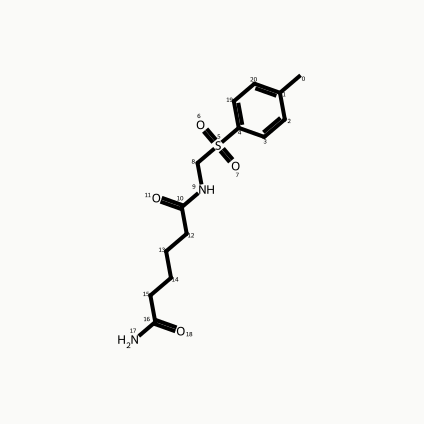 Cc1ccc(S(=O)(=O)CNC(=O)CCCCC(N)=O)cc1